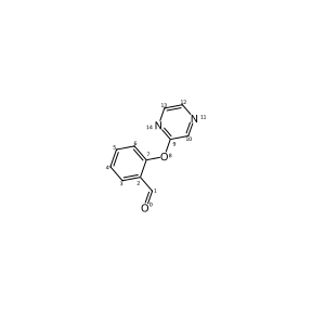 O=Cc1ccccc1Oc1cnccn1